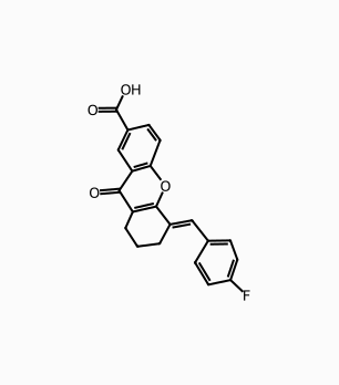 O=C(O)c1ccc2oc3c(c(=O)c2c1)CCCC3=Cc1ccc(F)cc1